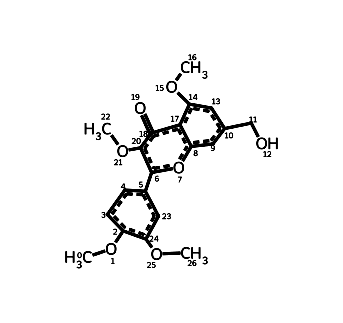 COc1ccc(-c2oc3cc(CO)cc(OC)c3c(=O)c2OC)cc1OC